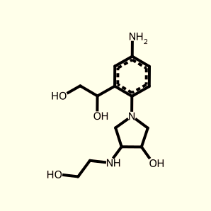 Nc1ccc(N2CC(O)C(NCCO)C2)c(C(O)CO)c1